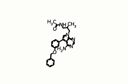 CC(=O)NCC(C)Cn1cc(-c2cccc(OCc3ccccc3)c2)c2c(N)ncnc21